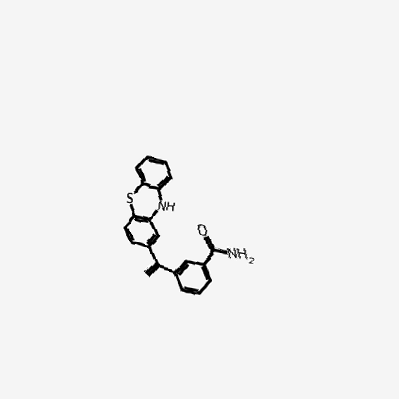 C=C(c1cccc(C(N)=O)c1)c1ccc2c(c1)Nc1ccccc1S2